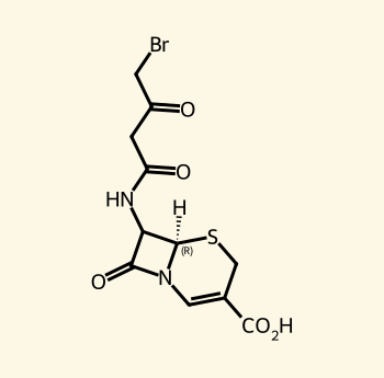 O=C(CBr)CC(=O)NC1C(=O)N2C=C(C(=O)O)CS[C@H]12